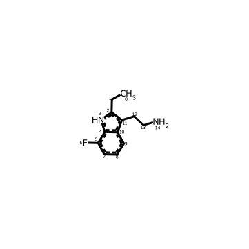 CCc1[nH]c2c(F)cccc2c1CCN